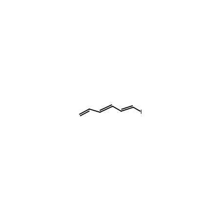 C=CC=CC=CI